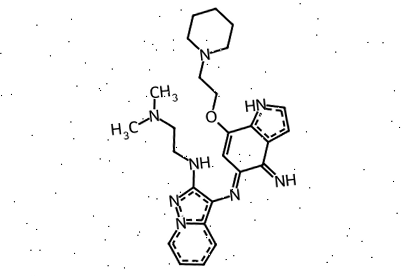 CN(C)CCNc1nn2ccccc2c1N=C1C=C(OCCN2CCCCC2)c2[nH]ccc2C1=N